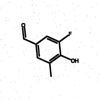 Cc1cc(C=O)cc(F)c1O